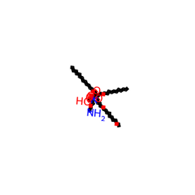 CCCCCCCCCCCCCCCC(=O)C(CCCCCCCCCCCCCC)C(=O)N(C(=O)CCCCCCCCCCCCCCC)C(CCCCN)C(=O)O